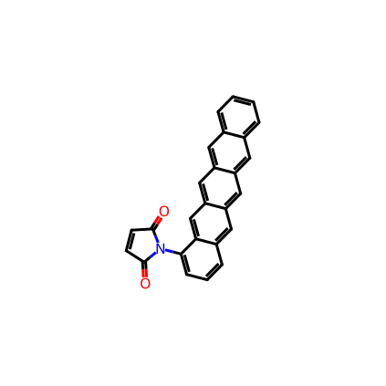 O=C1C=CC(=O)N1c1cccc2cc3cc4cc5ccccc5cc4cc3cc12